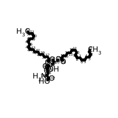 CC/C=C\C/C=C\C/C=C\C/C=C\CCCCC(=O)OC[C@H](COP(=O)(O)OC[C@H](N)C(=O)O)OC(=O)CCCCCCC/C=C\C/C=C\C/C=C\CC